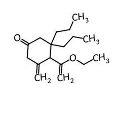 C=C1CC(=O)CC(CCC)(CCC)C1C(=C)OCC